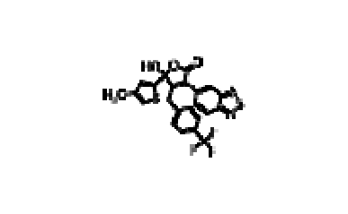 Cc1csc(C2(O)OC(=O)C(c3ccc4nsnc4c3)=C2Cc2ccc(C(F)(F)F)cc2)c1